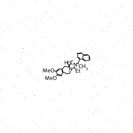 CCC(N1CCc2cc(OC)c(OC)cc2CC1=O)N(C)C(C)c1cccc2ccccc12